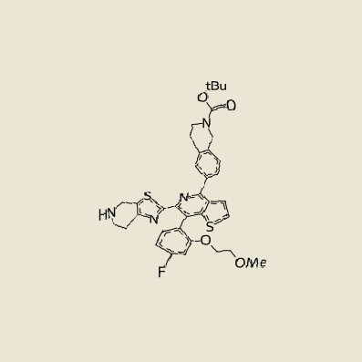 COCCOc1cc(F)ccc1-c1c(-c2nc3c(s2)CNCC3)nc(-c2ccc3c(c2)CCN(C(=O)OC(C)(C)C)C3)c2ccsc12